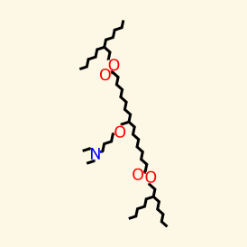 CCCCCC(CCCCC)CCOC(=O)CCCCCCCC(CCCCCCCC(=O)OCCC(CCCCC)CCCCC)COCCCCN(CC)CC